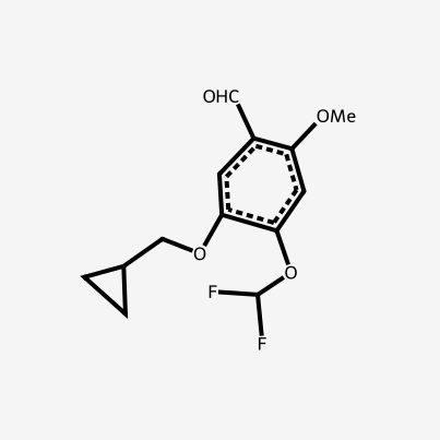 COc1cc(OC(F)F)c(OCC2CC2)cc1C=O